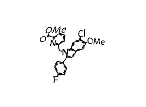 COC(=O)c1cccc(Cn2c(-c3ccc(F)cc3)cc3cc(OC)c(Cl)cc32)n1